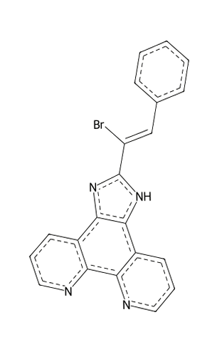 BrC(=Cc1ccccc1)c1nc2c3cccnc3c3ncccc3c2[nH]1